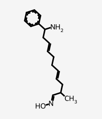 CC(/C=N/O)C/C=C/CC/C=C/CC(N)c1ccccc1